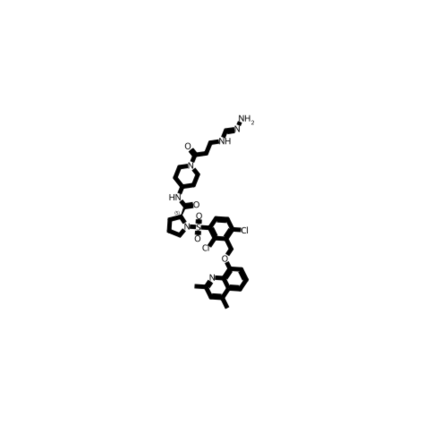 Cc1cc(C)c2cccc(OCc3c(Cl)ccc(S(=O)(=O)N4CCC[C@H]4C(=O)NC4CCN(C(=O)CCNC=NN)CC4)c3Cl)c2n1